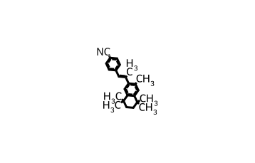 CC(=Cc1ccc(C#N)cc1)c1cc2c(cc1C)C(C)(C)CCC2(C)C